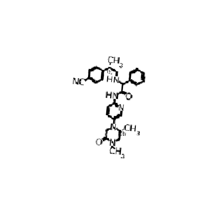 C[C@H](CNC(C(=O)Nc1ccc(N2CC(=O)N(C)C[C@H]2C)cn1)c1ccccc1)c1ccc(C#N)cc1